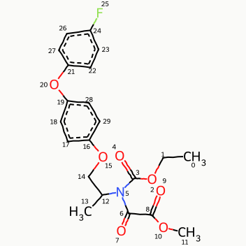 CCOC(=O)N(C(=O)C(=O)OC)C(C)COc1ccc(Oc2ccc(F)cc2)cc1